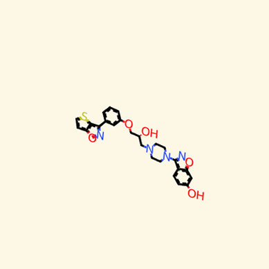 Oc1ccc2c(N3CCN(C[C@@H](O)COc4cccc(-c5noc6ccsc56)c4)CC3)noc2c1